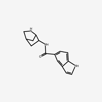 O=C(NC1CC2CNC1C2)c1ccc2[nH]ccc2c1